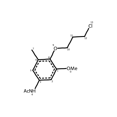 COc1cc(NC(C)=O)cc(C)c1OCCCCl